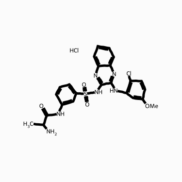 COc1ccc(Cl)c(Nc2nc3ccccc3nc2NS(=O)(=O)c2cccc(NC(=O)C(C)N)c2)c1.Cl